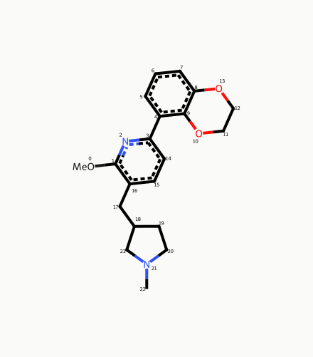 COc1nc(-c2cccc3c2OCCO3)ccc1CC1CCN(C)C1